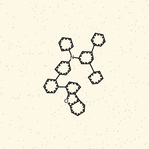 c1ccc(-c2cc(-c3ccccc3)cc(N(c3ccccc3)c3ccc(-c4ccccc4-c4cccc5c4oc4ccccc45)cc3)c2)cc1